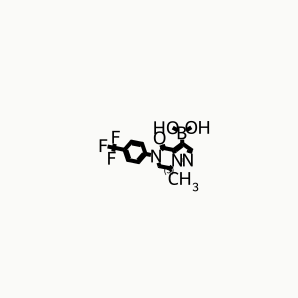 C[C@H]1CN(c2ccc(C(F)(F)F)cc2)C(=O)c2c(B(O)O)cnn21